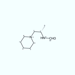 C[C@@H](CN1CCCCC1)NC=O